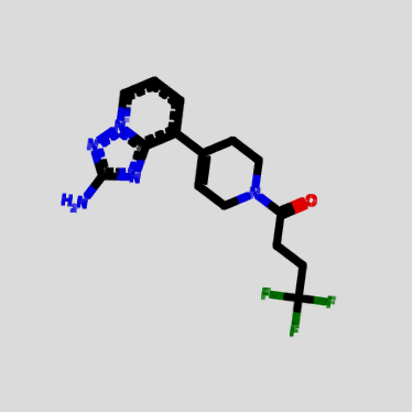 Nc1nc2c(C3=CCN(C(=O)CCC(F)(F)F)CC3)cccn2n1